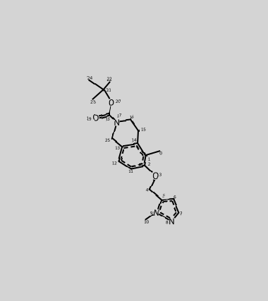 Cc1c(OCc2ccnn2C)ccc2c1CCN(C(=O)OC(C)(C)C)C2